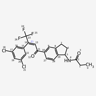 CCC(=O)NC1CCc2cc(C(=O)/C=C(\c3cc(Cl)cc(Cl)c3)C(F)(F)F)ccc21